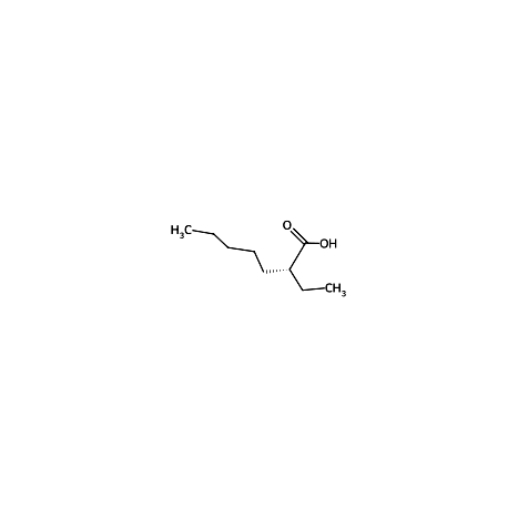 CCCCC[C@@H](CC)C(=O)O